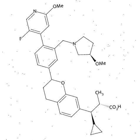 COc1cc(-c2ccc(C3CCc4ccc([C@H](C5CC5)[C@H](C)C(=O)O)cc4O3)cc2CN2CC[C@@H](OC)C2)c(F)cn1